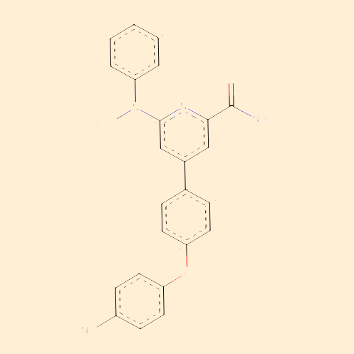 CN(c1ccccc1)c1cc(-c2ccc(Oc3ccc(C#N)cc3)cc2)cc(C(N)=O)n1